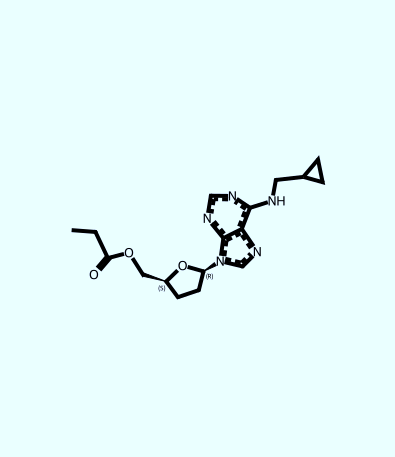 CCC(=O)OC[C@@H]1CC[C@H](n2cnc3c(NCC4CC4)ncnc32)O1